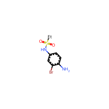 CCS(=O)(=O)Nc1ccc(N)c(Br)c1